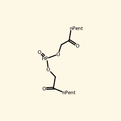 CCCCCC(=O)CO[PH](=O)OCC(=O)CCCCC